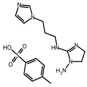 Cc1ccc(S(=O)(=O)O)cc1.NN1CCN=C1NCCCn1ccnc1